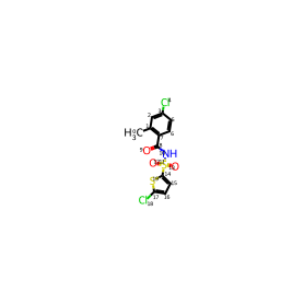 Cc1cc(Cl)ccc1C(=O)NS(=O)(=O)c1ccc(Cl)s1